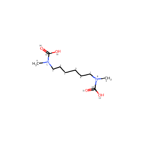 CN(CCCCCCN(C)C(=O)O)C(=O)O